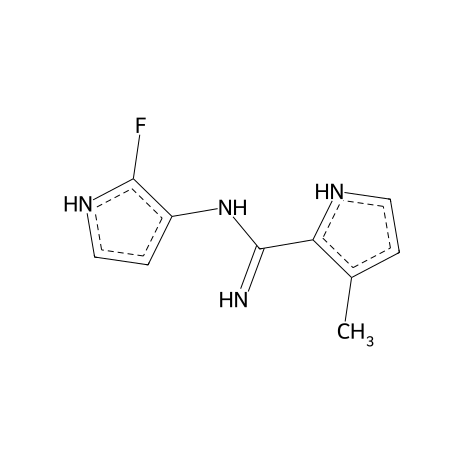 Cc1cc[nH]c1C(=N)Nc1cc[nH]c1F